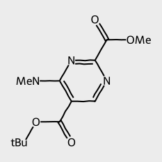 CNc1nc(C(=O)OC)ncc1C(=O)OC(C)(C)C